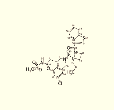 CCCC1(C(=O)N(CCCC(=O)NS(C)(=O)=O)Cc2cccc(Cl)c2)CCN1C(=O)c1csc2ccccc12